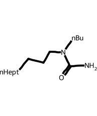 CCCCCCCCCCN(CCCC)C(N)=O